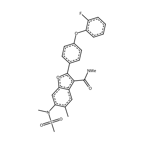 CNC(=O)c1c(-c2ccc(Oc3ccccc3F)cc2)oc2cc(N(C)S(C)(=O)=O)c(C)cc12